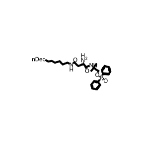 CCCCCCCCCCCCCCCCNC(=O)C[C@H](N)C(=O)NC(C)(C)COP(=O)(c1ccccc1)c1ccccc1